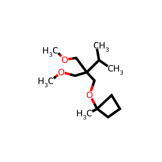 COCC(COC)(COC1(C)CCC1)C(C)C